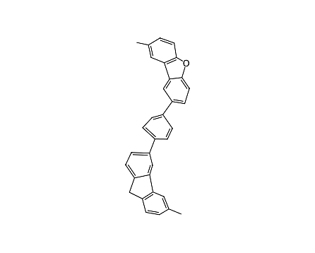 Cc1ccc2c(c1)-c1cc(-c3ccc(-c4ccc5oc6ccc(C)cc6c5c4)cc3)ccc1C2